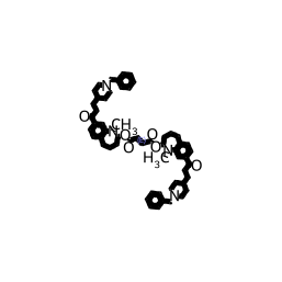 CN1c2cc(C(=O)CCC3CCN(Cc4ccccc4)CC3)ccc2CCCC1OC(=O)/C=C/C(=O)OC1CCCc2ccc(C(=O)CCC3CCN(Cc4ccccc4)CC3)cc2N1C